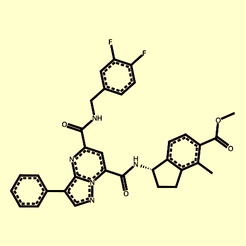 COC(=O)c1ccc2c(c1C)CC[C@@H]2NC(=O)c1cc(C(=O)NCc2ccc(F)c(F)c2)nc2c(-c3ccccc3)cnn12